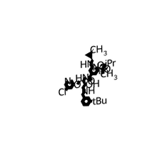 CC(C)S(=O)(=O)N(C)c1cc(C(=O)N[C@@H](COc2cncc(Cl)c2)[C@H](O)CNCc2cccc(C(C)(C)C)c2)cc(NC[C@H]2C[C@@H]2C)n1